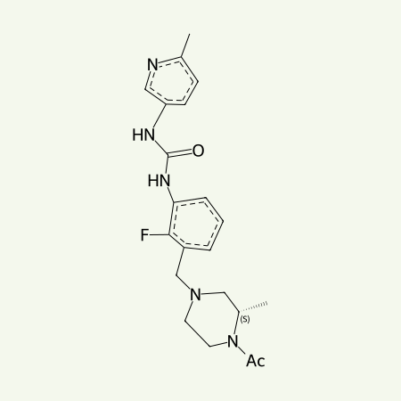 CC(=O)N1CCN(Cc2cccc(NC(=O)Nc3ccc(C)nc3)c2F)C[C@@H]1C